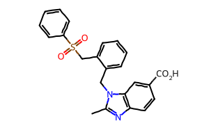 Cc1nc2ccc(C(=O)O)cc2n1Cc1ccccc1CS(=O)(=O)c1ccccc1